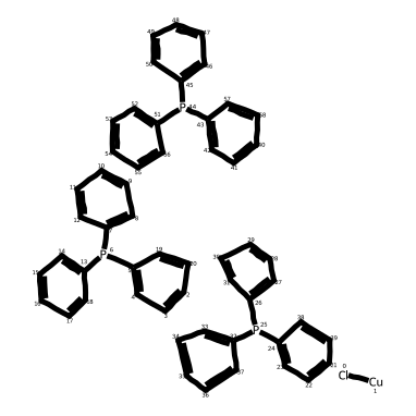 [Cl][Cu].c1ccc(P(c2ccccc2)c2ccccc2)cc1.c1ccc(P(c2ccccc2)c2ccccc2)cc1.c1ccc(P(c2ccccc2)c2ccccc2)cc1